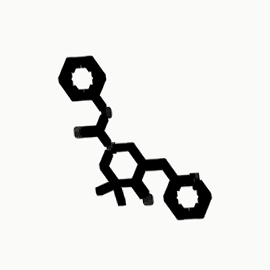 CC1(C)CN(C(=O)Oc2ccccc2)CC(=Cc2ccccn2)C1=O